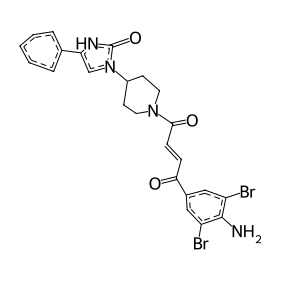 Nc1c(Br)cc(C(=O)/C=C/C(=O)N2CCC(n3cc(-c4ccccc4)[nH]c3=O)CC2)cc1Br